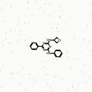 c1ccc(Nc2nc(NC3COC3)nc(-c3ccccc3)n2)cc1